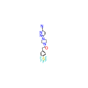 N#Cc1ccc(N2CCN(C(=O)Cc3ccc(S(F)(F)(F)(F)F)cc3)CC2)nn1